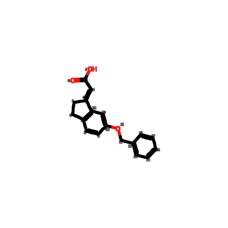 O=C(O)C=C1CCc2ccc(OCc3ccccc3)cc21